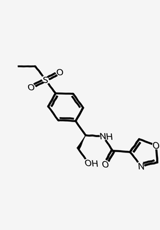 CCS(=O)(=O)c1ccc([C@H](CO)NC(=O)c2cocn2)cc1